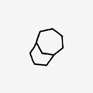 [CH]1CCC2CCCC(C1)C2